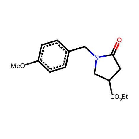 CCOC(=O)C1CC(=O)N(Cc2ccc(OC)cc2)C1